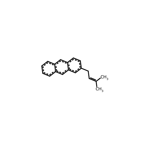 CC(C)=CCc1ccc2cc3ccccc3cc2c1